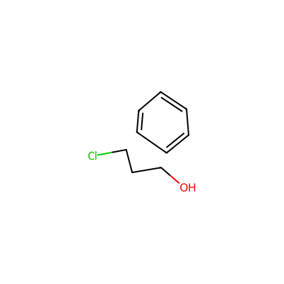 OCCCCl.c1ccccc1